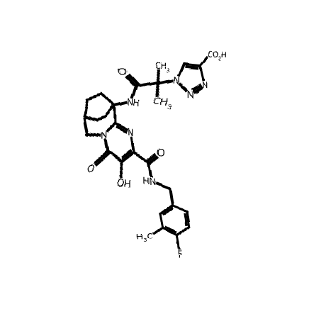 Cc1cc(CNC(=O)c2nc3n(c(=O)c2O)CC2CCC3(NC(=O)C(C)(C)n3cc(C(=O)O)nn3)CC2)ccc1F